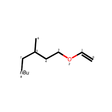 C=COCCC(C)CCCCC